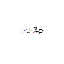 CC(C(=O)OC1CC[N+](C)(C)CC1)(c1ccccc1)C1CC1